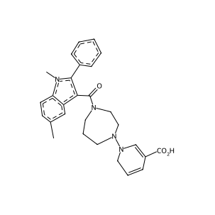 Cc1ccc2c(c1)c(C(=O)N1CCCN(N3C=C(C(=O)O)C=CC3)CC1)c(-c1ccccc1)n2C